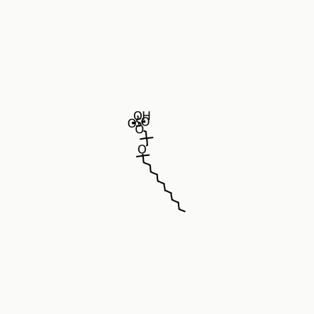 CCCCCCCCCCCCC(C)(C)OCC(C)(C)COS(=O)(=O)O